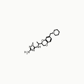 CC(Nc1nc(N)nn1C)C1COc2ccc(CN3CCCCC3)cc2O1